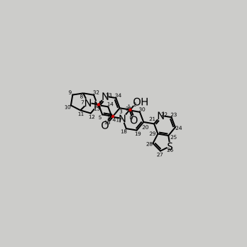 O=C(O)c1ccc(N2C3CCC2CN(CC(=O)N2CC=C(c4nccc5sccc45)CC2)C3)nc1